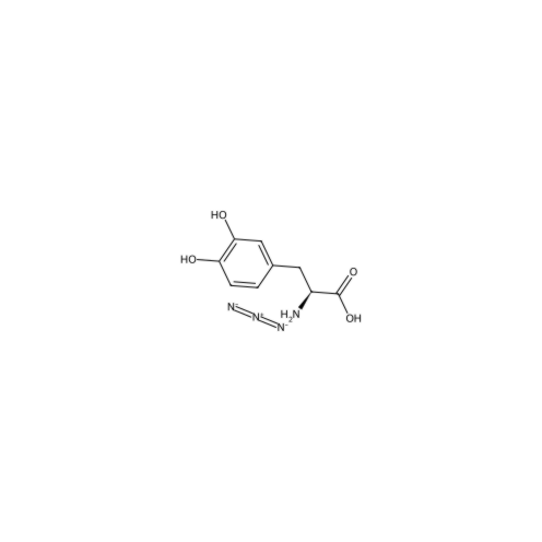 N[C@@H](Cc1ccc(O)c(O)c1)C(=O)O.[N-]=[N+]=[N-]